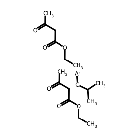 CC(C)[O][Al].CCOC(=O)CC(C)=O.CCOC(=O)CC(C)=O